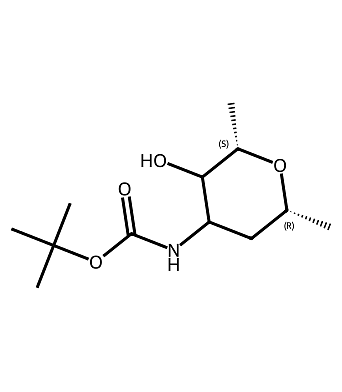 C[C@@H]1CC(NC(=O)OC(C)(C)C)C(O)[C@H](C)O1